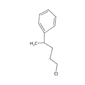 [CH2]C(C[CH]CCl)c1ccccc1